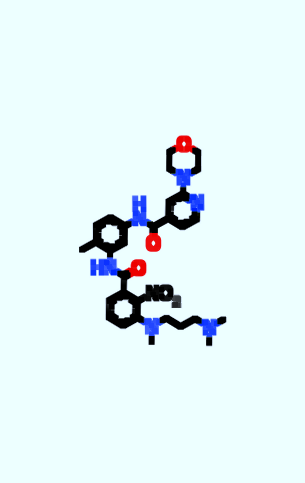 Cc1ccc(NC(=O)c2ccnc(N3CCOCC3)c2)cc1NC(=O)c1cccc(N(C)CCCN(C)C)c1[N+](=O)[O-]